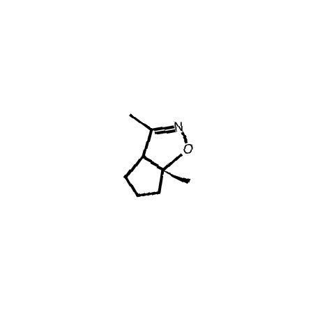 CC1=NO[C@]2(C)CCCC12